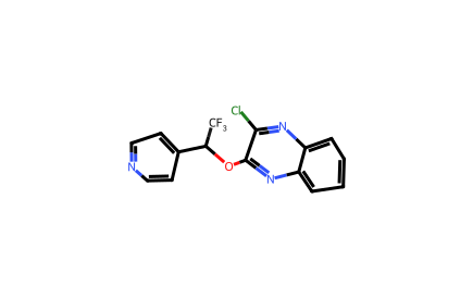 FC(F)(F)C(Oc1nc2ccccc2nc1Cl)c1ccncc1